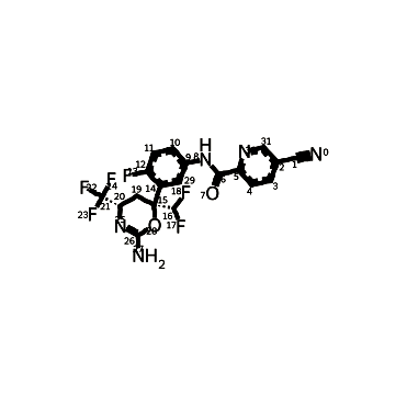 N#Cc1ccc(C(=O)Nc2ccc(F)c([C@]3(C(F)F)C[C@@H](C(F)(F)F)N=C(N)O3)c2)nc1